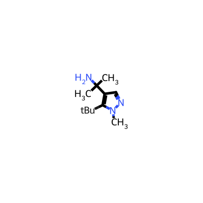 Cn1ncc(C(C)(C)N)c1C(C)(C)C